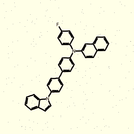 Fc1ccc(N(c2ccc(-c3ccc(-n4ccc5ccccc54)cc3)cc2)c2ccc3ccccc3c2)cc1